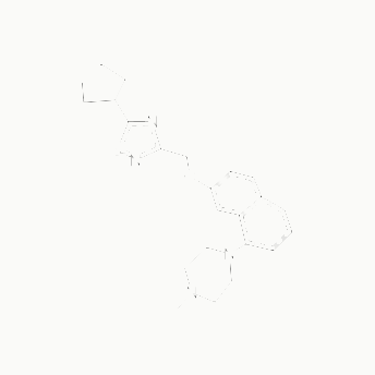 CN1CCN(c2cccc3ccc(OCc4nsc(C5CCCC5)n4)cc23)CC1